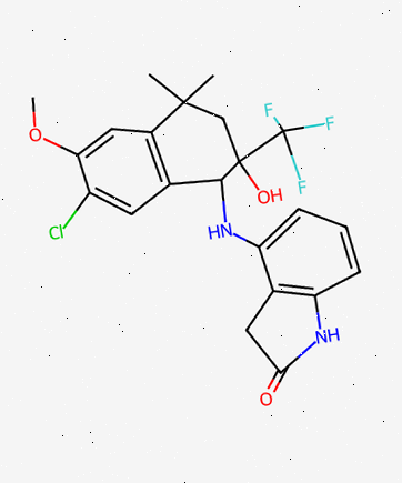 COc1cc2c(cc1Cl)C(Nc1cccc3c1CC(=O)N3)C(O)(C(F)(F)F)CC2(C)C